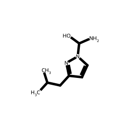 CC(C)Cc1ccn(C(N)O)n1